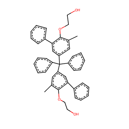 Cc1cc(C(c2ccccc2)(c2ccccc2)c2cc(C)c(OCCO)c(-c3ccccc3)c2)cc(-c2ccccc2)c1OCCO